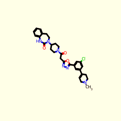 CN1CC=C(c2cc(Cl)cc(-c3nnc(CC(=O)N4CCC(N5CCc6ccccc6NC5=O)CC4)o3)c2)CC1